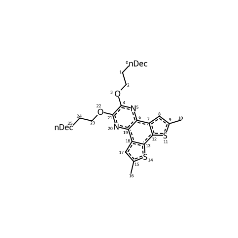 CCCCCCCCCCCCOc1nc2c3cc(C)sc3c3sc(C)cc3c2nc1OCCCCCCCCCCCC